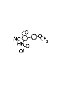 N#Cc1c(NC(=O)[C@@H]2CO2)cc(-c2ccc(OC(F)(F)F)cc2)c2c1CCO2